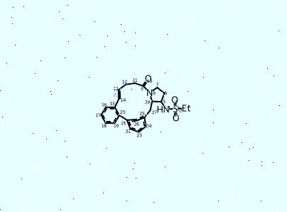 CCS(=O)(=O)NC1CCN2C(=O)CC/C=C/c3ccccc3-c3cccc(c3)CC12